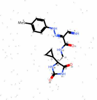 CSc1ccc(N/N=C(\C=N)C(=O)NC[C@@]2(C3CC3)NC(=O)NC2=O)cc1